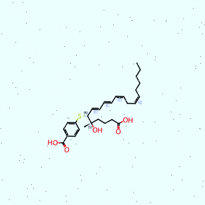 CCCCC/C=C\C\C=C/C=C/C=C/[C@@H](Sc1ccc(C(=O)O)cc1)[C@@](C)(O)CCCC(=O)O